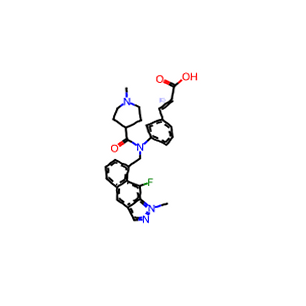 CN1CCC(C(=O)N(Cc2cccc3cc4cnn(C)c4c(F)c23)c2cccc(/C=C/C(=O)O)c2)CC1